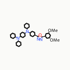 COc1cc(OC)cc(-c2nnc(-c3ccc(N(c4ccccc4)c4ccc(N(c5ccccc5)c5ccccc5)cc4)cc3)o2)c1